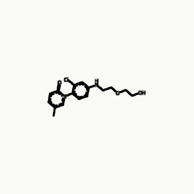 Cc1ccc(=O)n(-c2ccc(NCCOCCO)cc2Cl)c1